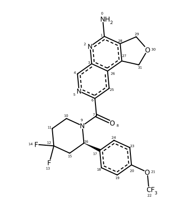 Nc1nc2cnc(C(=O)N3CCC(F)(F)C[C@@H]3c3ccc(OC(F)(F)F)cc3)cc2c2c1COC2